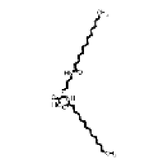 CCCCCCCCCCCCCC(=O)NCCCC[C@H](NC(=O)CCCCCCCCCCCCC)C(=O)O